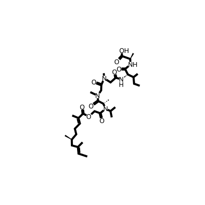 C/C=C(\C)C[C@@H](C)CC/C=C(\C)C(=O)OCC(=O)N(C(C)C)[C@@H](C)C(=O)N(C)CC(=O)N(C)CC(=O)N[C@H](C(=O)N[C@H](C)C(=O)O)C(C)CC